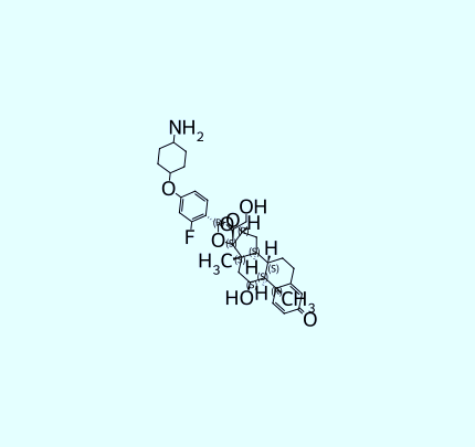 C[C@]12C=CC(=O)C=C1CC[C@@H]1[C@@H]2[C@@H](O)C[C@@]2(C)[C@H]1C[C@H]1O[C@@H](c3ccc(OC4CCC(N)CC4)cc3F)O[C@]12C(=O)CO